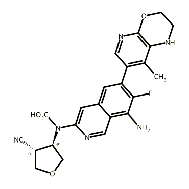 Cc1c(-c2cc3cc(N(C(=O)O)[C@H]4COC[C@@H]4C#N)ncc3c(N)c2F)cnc2c1NCCO2